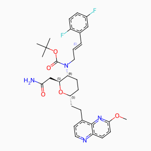 COc1ccc2nccc(CC[C@H]3CC[C@@H](N(C/C=C/c4cc(F)ccc4F)C(=O)OC(C)(C)C)[C@H](CC(N)=O)O3)c2n1